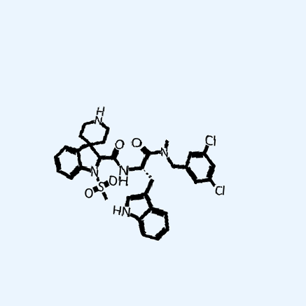 CN(Cc1cc(Cl)cc(Cl)c1)C(=O)[C@H](Cc1c[nH]c2ccccc12)NC(=O)C1N(S(C)(=O)=O)c2ccccc2C12CCNCC2